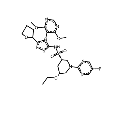 CCO[C@@H]1C[C@@H](S(=O)(=O)Nc2nnc(C3CCCO3)n2-c2c(OC)ncnc2OC)CN(c2ncc(F)cn2)C1